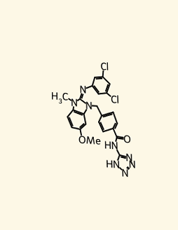 COc1ccc2c(c1)n(Cc1ccc(C(=O)Nc3nnn[nH]3)cc1)c(=Nc1cc(Cl)cc(Cl)c1)n2C